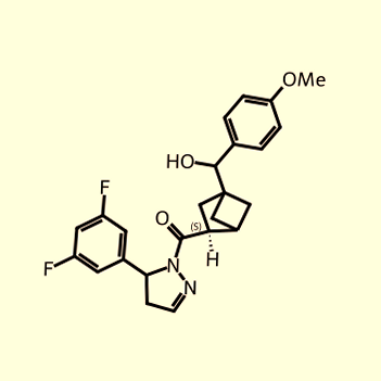 COc1ccc(C(O)C23CC(C2)[C@@H](C(=O)N2N=CCC2c2cc(F)cc(F)c2)C3)cc1